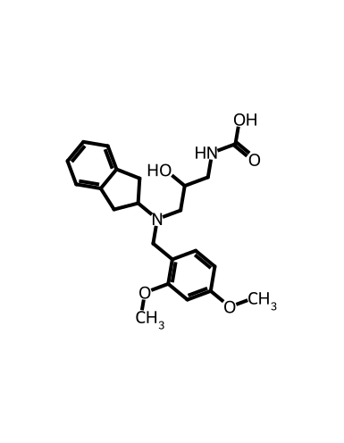 COc1ccc(CN(CC(O)CNC(=O)O)C2Cc3ccccc3C2)c(OC)c1